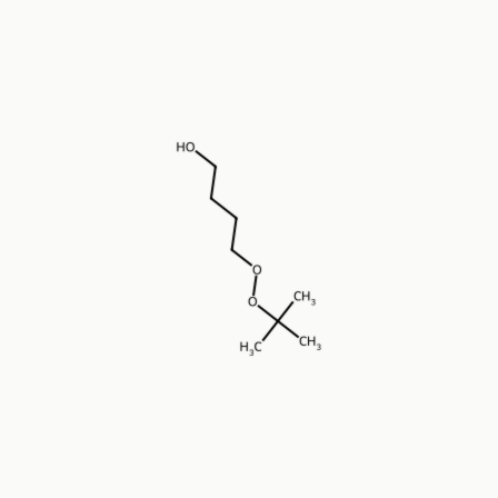 CC(C)(C)OOCCCCO